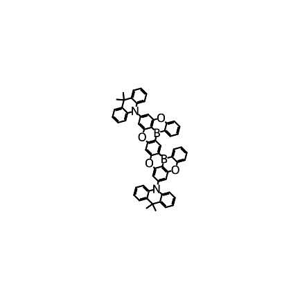 CC1(C)c2ccccc2N(c2cc3c4c(c2)Oc2cc5c(cc2B4c2ccccc2O3)B2c3ccccc3Oc3cc(N4c6ccccc6C(C)(C)c6ccccc64)cc(c32)O5)c2ccccc21